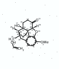 C=CO.COc1ccc2c3c1O[C@H]1C(=O)CC[C@@]4(O)[C@@H](C2)N(C)CC[C@]314